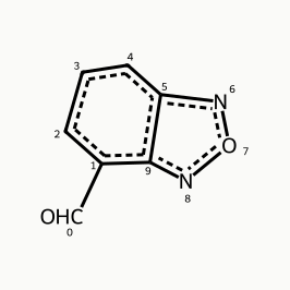 O=Cc1cccc2nonc12